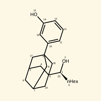 CCCCCC[C@H](O)C12CC3CC(CC(c4cccc(O)c4)(C3)C1)C2